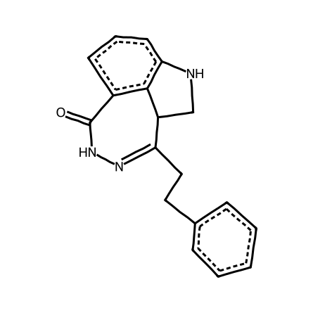 O=C1NN=C(CCc2ccccc2)C2CNc3cccc1c32